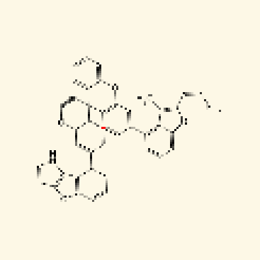 Cc1c(/C=C\N)oc2cccc(-c3ccc4c(c3)Oc3ccccc3C43c4ccccc4OC4C=C(C5CC=Cc6oc7cc[nH]c7c65)C=CC43)c12